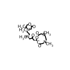 CN1CCN(C)CC(=O)O[C@H](CC(=O)CN(C)CCN2CC(=O)OCC2(C)C)CC(=O)C1